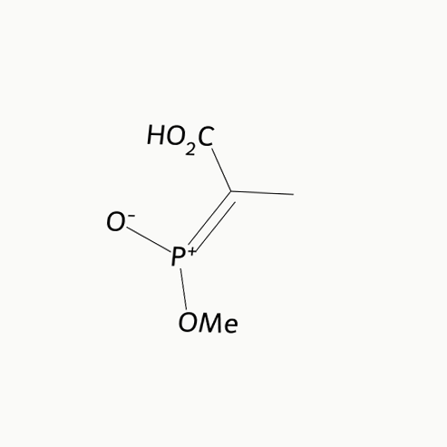 CO/[P+]([O-])=C(\C)C(=O)O